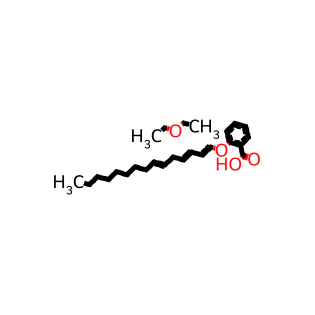 CCCCCCCCC=CCC=CC=COc1ccccc1C(=O)O.CCOCC